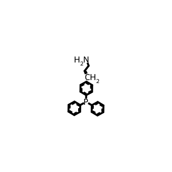 C=CCN.c1ccc(P(c2ccccc2)c2ccccc2)cc1